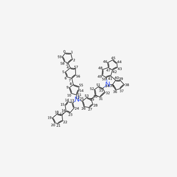 c1ccc(-c2ccc(-c3ccc(N(c4ccc(-c5ccccc5)cc4)c4cccc(-c5ccc(-n6c7ccccc7c7c8ccccc8ccc76)cc5)c4)cc3)cc2)cc1